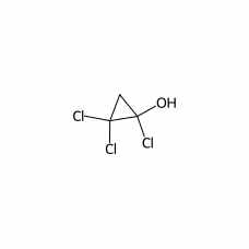 OC1(Cl)CC1(Cl)Cl